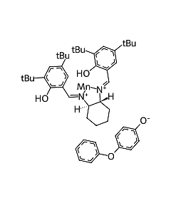 CC(C)(C)c1cc(C=[N+]2[Mn][N+](=Cc3cc(C(C)(C)C)cc(C(C)(C)C)c3O)[C@@H]3CCCC[C@H]32)c(O)c(C(C)(C)C)c1.[O-]c1ccc(Oc2ccccc2)cc1